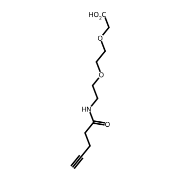 C#CCCC(=O)NCCOCCOCC(=O)O